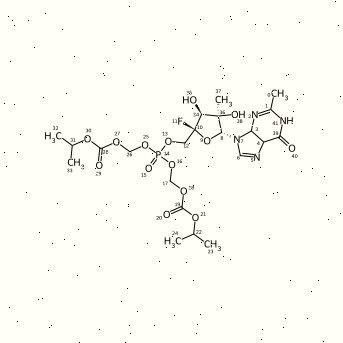 CC1=NC2C(N=CN2[C@@H]2O[C@](F)(COP(=O)(OCOC(=O)OC(C)C)OCOC(=O)OC(C)C)[C@@H](O)[C@@]2(C)O)C(=O)N1